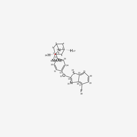 CC(=O)N[C@H]1CC2C[C@@H](C1)N2Cc1ccc(Oc2nc3c(F)cccc3s2)cc1